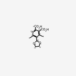 Cc1nc(C(=O)O)c(C(=O)O)c(C)c1C1OCCO1